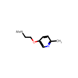 CNCCOc1ccc(C)nc1